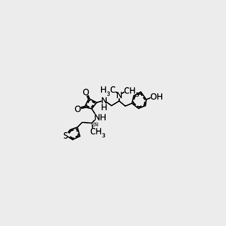 C[C@@H](Cc1ccsc1)Nc1c(NCC(Cc2ccc(O)cc2)N(C)C)c(=O)c1=O